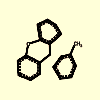 Cc1ccccc1.c1ccc2c(c1)Cc1ccccc1O2